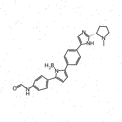 Bn1c(-c2ccc(NC=O)cc2)ccc1-c1ccc(-c2cnc([C@@H]3CCCN3I)[nH]2)cc1